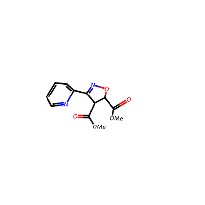 COC(=O)C1ON=C(c2ccccn2)C1C(=O)OC